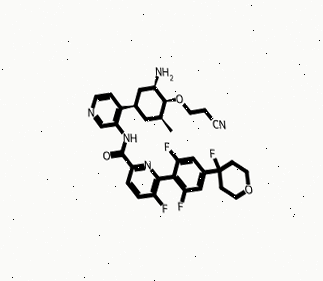 C[C@H]1C[C@@H](c2ccncc2NC(=O)c2ccc(F)c(-c3c(F)cc(C4(F)CCOCC4)cc3F)n2)C[C@@H](N)[C@H]1OCCC#N